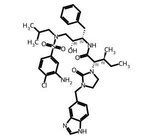 CC[C@H](C)[C@@H](C(=O)N[C@@H](Cc1ccccc1)[C@H](O)CN(CC(C)C)S(=O)(=O)c1ccc(Cl)c(N)c1)N1CCN(Cc2ccc3[nH]cnc3c2)C1=O